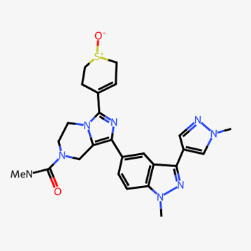 CNC(=O)N1CCn2c(C3=CC[S+]([O-])CC3)nc(-c3ccc4c(c3)c(-c3cnn(C)c3)nn4C)c2C1